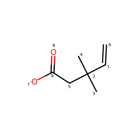 C=CC(C)(C)CC([O])=O